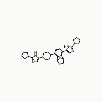 c1nc(C2CCCC2)[nH]c1-c1ccc(C2CCC(c3cnc(C4CCCC4)[nH]3)CC2)c2c1C1CCC2C1